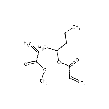 C=CC(=O)OC.C=CC(=O)OC(C)CCC